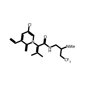 C=CC1=CC(Cl)=CN(C(C(=O)NCC(CC(F)(F)F)NC)=C(C)C)C1=C